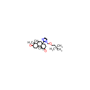 CC1(C)C(=O)CC[C@]2(C)C3=CC(=O)CCC3(c3nccn3COCC[Si](C)(C)C)CCC12